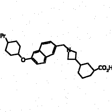 CC(C)C1CCC(Oc2ccc3cc(CN4CC(C5CCCC(C(=O)O)C5)C4)ccc3c2)CC1